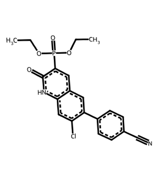 CCOP(=O)(OCC)c1cc2cc(-c3ccc(C#N)cc3)c(Cl)cc2[nH]c1=O